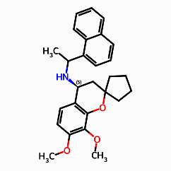 COc1ccc2c(c1OC)OC1(CCCC1)C[C@@H]2NC(C)c1cccc2ccccc12